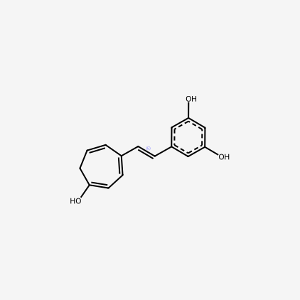 OC1=CC=C(/C=C/c2cc(O)cc(O)c2)C=CC1